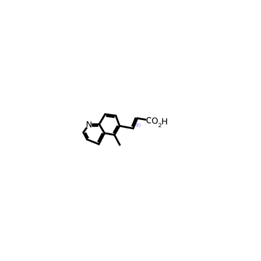 Cc1c(/C=C/C(=O)O)ccc2ncccc12